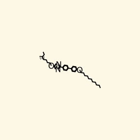 CCCCCCCCCCCOc1ccc(-c2ccc(-c3ncc(OCCCC[C@@H](C)CC)cn3)cc2)cc1